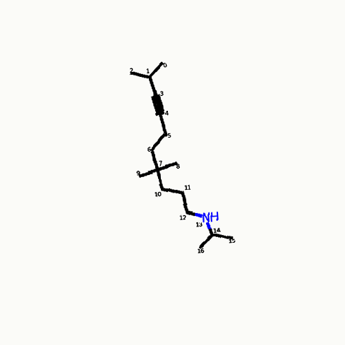 CC(C)C#CCCC(C)(C)CCCNC(C)C